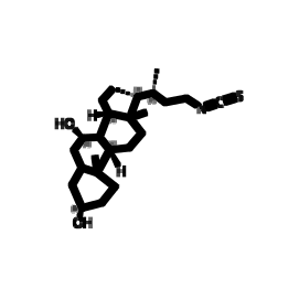 C[C@H](CCN=C=S)[C@H]1CC[C@H]2C3[C@H](O)CC4C[C@H](O)CCC4(C)[C@H]3CCC12C